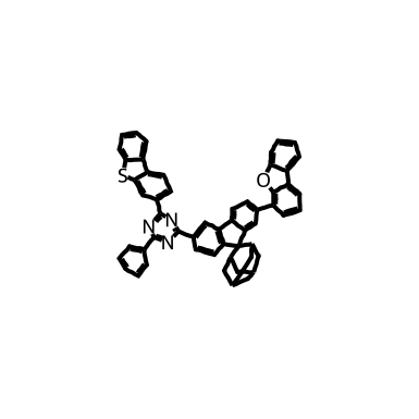 c1ccc(-c2nc(-c3ccc4c(c3)-c3ccc(-c5cccc6c5oc5ccccc56)cc3C43C4CC5CC(C4)CC3C5)nc(-c3ccc4c(c3)sc3ccccc34)n2)cc1